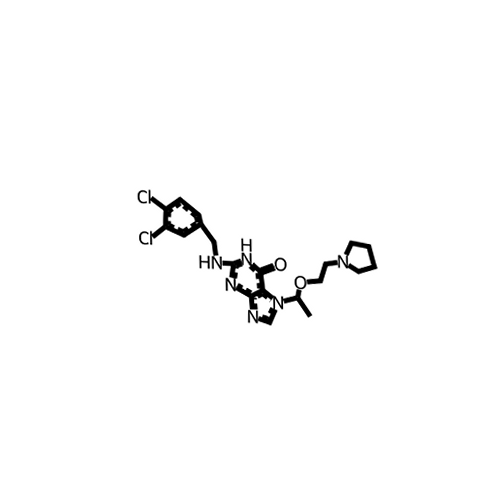 CC(OCCN1CCCC1)n1cnc2nc(NCc3ccc(Cl)c(Cl)c3)[nH]c(=O)c21